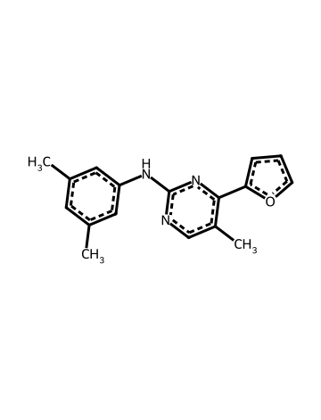 Cc1cc(C)cc(Nc2ncc(C)c(-c3ccco3)n2)c1